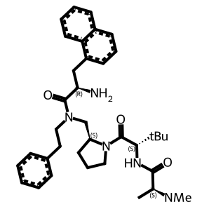 CN[C@@H](C)C(=O)N[C@H](C(=O)N1CCC[C@H]1CN(CCc1ccccc1)C(=O)[C@H](N)Cc1cccc2ccccc12)C(C)(C)C